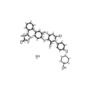 CCCc1nc(CC)n(-c2ccc(O[C@H]3CC[C@H](O)CC3)cc2)c(=O)c1Cc1ccc(-c2ccccc2-c2noc(=O)[nH]2)cc1.[KH]